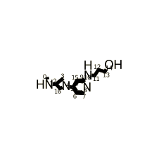 CNC1CN(c2ccnc(NCCCO)c2)C1